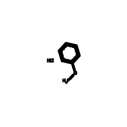 Cl.POc1ccccc1